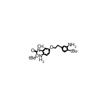 CN(C(=O)OC(C)(C)C)c1cc(OCCc2ccc(C(C)(C)C)c(N)c2)ccc1N